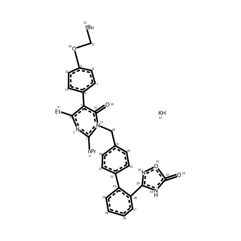 CCCc1nc(CC)c(-c2ccc(OCC(C)(C)C)cc2)c(=O)n1Cc1ccc(-c2ccccc2-c2noc(=O)[nH]2)cc1.[KH]